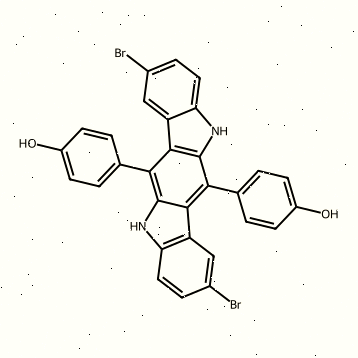 Oc1ccc(-c2c3[nH]c4ccc(Br)cc4c3c(-c3ccc(O)cc3)c3[nH]c4ccc(Br)cc4c23)cc1